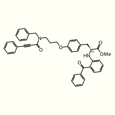 COC(=O)[C@H](Cc1ccc(OCCCN(Cc2ccccc2)C(=O)C#Cc2ccccc2)cc1)Nc1ccccc1C(=O)c1ccccc1